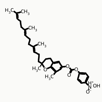 CC(C)=CCC/C(C)=C/CC/C(C)=C/CC[C@]1(C)CCc2cc(OC(=O)Oc3ccc([NH+]([O-])O)cc3)cc(C)c2O1